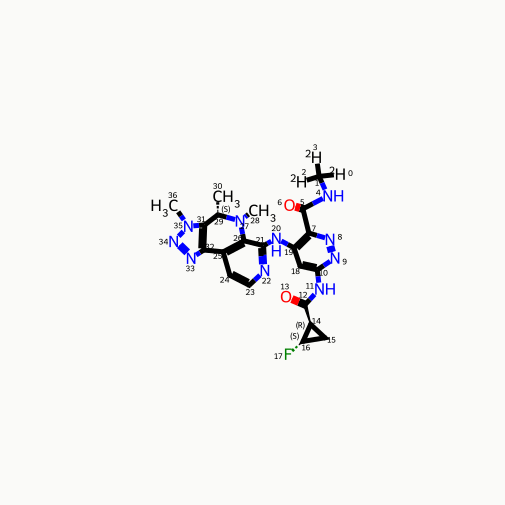 [2H]C([2H])([2H])NC(=O)c1nnc(NC(=O)[C@H]2C[C@@H]2F)cc1Nc1nccc2c1N(C)[C@@H](C)c1c-2nnn1C